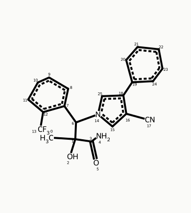 CC(O)(C(N)=O)C(c1ccccc1C(F)(F)F)n1cc(C#N)c(-c2ccccc2)c1